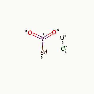 O=P(=O)S.[Cl-].[Li+]